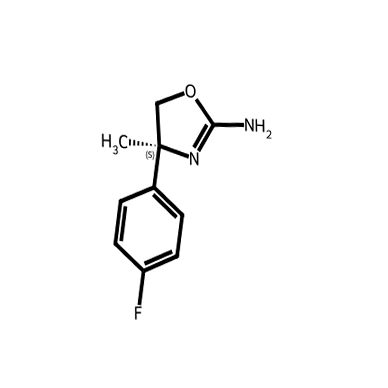 C[C@]1(c2ccc(F)cc2)COC(N)=N1